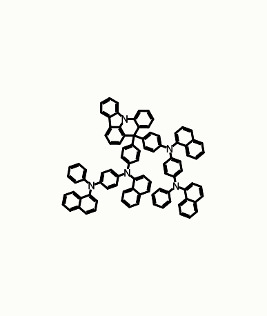 c1ccc(N(c2ccc(N(c3ccc(C4(c5ccc(N(c6ccc(N(c7ccccc7)c7cccc8ccccc78)cc6)c6cccc7ccccc67)cc5)c5ccccc5-n5c6ccccc6c6cccc4c65)cc3)c3cccc4ccccc34)cc2)c2cccc3ccccc23)cc1